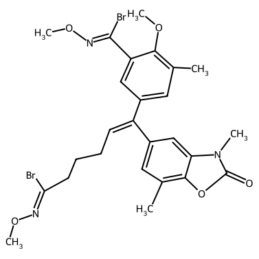 CO/N=C(\Br)CCC/C=C(/c1cc(C)c(OC)c(/C(Br)=N/OC)c1)c1cc(C)c2oc(=O)n(C)c2c1